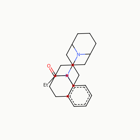 CCC(=O)N(c1ccccc1)C1CC2CCCC(C1)N2C1CC2CCCC(C2)C1